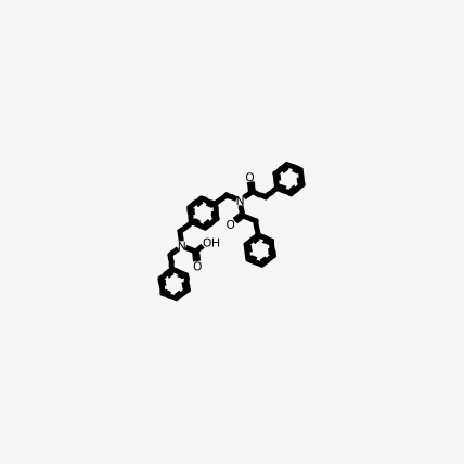 O=C(O)N(Cc1ccccc1)Cc1ccc(CN(C(=O)Cc2ccccc2)C(=O)Cc2ccccc2)cc1